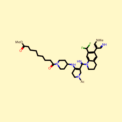 CN/C=C(\C=N)c1cc2c(cc1C(F)F)N(C(=N)C1=C(NC3CCN(C(=O)CCCCCCCC(=O)OC)CC3)CCN(C(C)=O)C1)CCC2